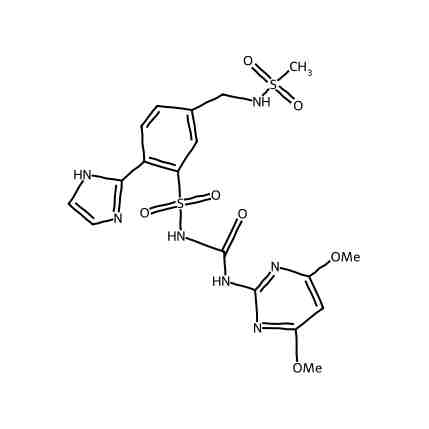 COc1cc(OC)nc(NC(=O)NS(=O)(=O)c2cc(CNS(C)(=O)=O)ccc2-c2ncc[nH]2)n1